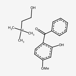 COc1ccc(C(=O)c2ccccc2)c(O)c1.C[N+](C)(C)CCO